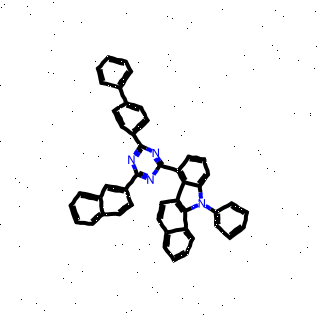 c1ccc(-c2ccc(-c3nc(-c4ccc5ccccc5c4)nc(-c4cccc5c4c4ccc6ccccc6c4n5-c4ccccc4)n3)cc2)cc1